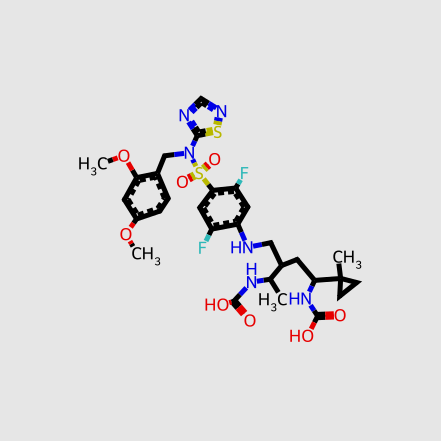 COc1ccc(CN(c2ncns2)S(=O)(=O)c2cc(F)c(NCC(CC(NC(=O)O)C3(C)CC3)C(C)NC(=O)O)cc2F)c(OC)c1